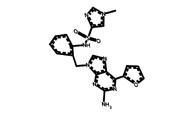 Cn1cnc(S(=O)(=O)Nc2ccccc2Cn2cnc3c(-c4ccco4)nc(N)nc32)c1